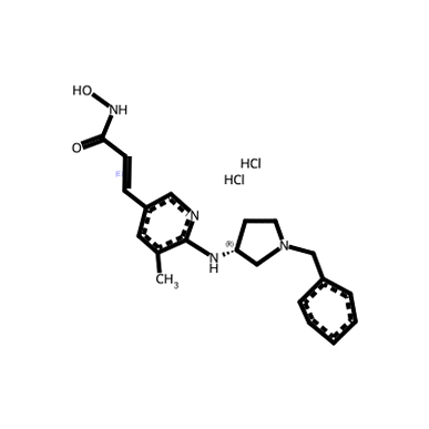 Cc1cc(/C=C/C(=O)NO)cnc1N[C@@H]1CCN(Cc2ccccc2)C1.Cl.Cl